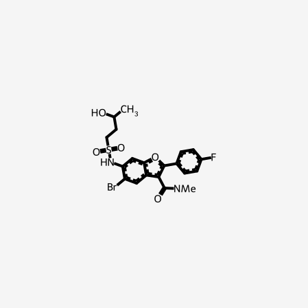 CNC(=O)c1c(-c2ccc(F)cc2)oc2cc(NS(=O)(=O)CCC(C)O)c(Br)cc12